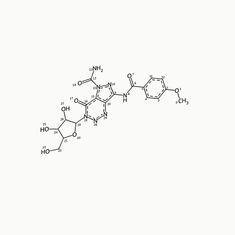 COc1ccc(C(=O)Nc2nn(C(N)=O)c3c(=O)n(C4OC(CO)C(O)C4O)nnc23)cc1